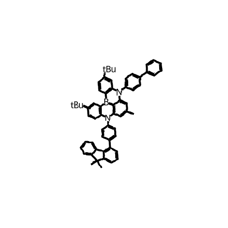 Cc1cc2c3c(c1)N(c1ccc(-c4ccccc4)cc1)c1cc(C(C)(C)C)ccc1B3c1cc(C(C)(C)C)ccc1N2c1ccc(-c2cccc3c2-c2ccccc2C3(C)C)cc1